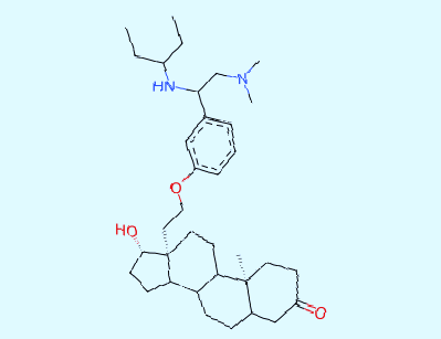 CCC(CC)NC(CN(C)C)c1cccc(OCC[C@]23CCC4C(CCC5CC(=O)CC[C@@]54C)C2CC[C@@H]3O)c1